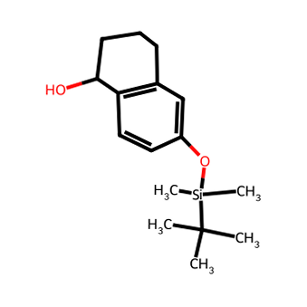 CC(C)(C)[Si](C)(C)Oc1ccc2c(c1)CCCC2O